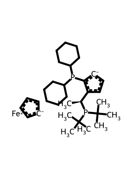 C[C@@H](c1cc[cH-]c1P(C1CCCCC1)C1CCCCC1)P(C(C)(C)C)C(C)(C)C.[Fe+2].c1cc[cH-]c1